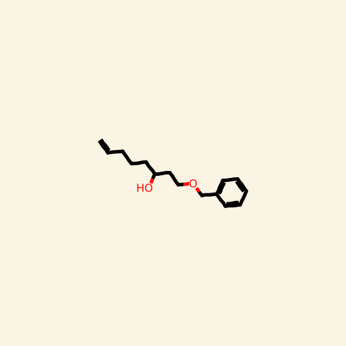 C=CCCCC(O)CCOCc1ccccc1